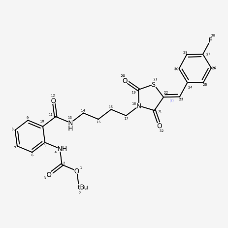 CC(C)(C)OC(=O)Nc1ccccc1C(=O)NCCCCN1C(=O)S/C(=C\c2ccc(F)cc2)C1=O